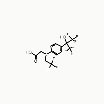 O=C(O)CN(CC(F)(F)F)c1ccc(C(O)(C(F)(F)F)C(F)(F)F)cc1